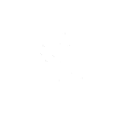 CC(C)(C)c1ccc2c(c1)-n1nnnc1C(C)(C)O2